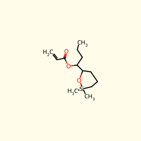 C=CC(=O)OC(CCC)C1CCC[Si](C)(C)O1